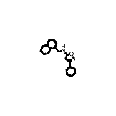 c1ccc(-c2cc(NCc3cccc4ccccc34)on2)cc1